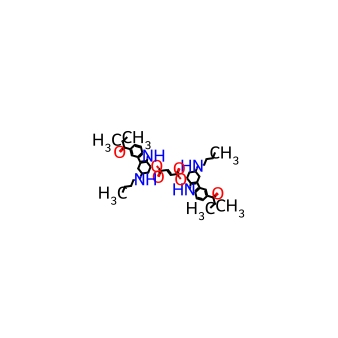 CCCCNC1Cc2c([nH]c3ccc(C(=O)C(C)C)cc23)C(OC(=O)/C=C/C(=O)OC2CC(NCCCC)Cc3c2[nH]c2ccc(C(=O)C(C)C)cc32)C1